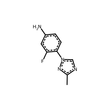 Cc1ncn(-c2ccc(N)cc2F)n1